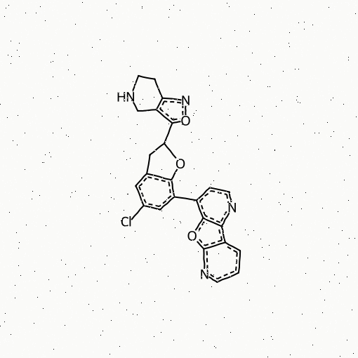 Clc1cc2c(c(-c3ccnc4c3oc3ncccc34)c1)OC(c1onc3c1CNCC3)C2